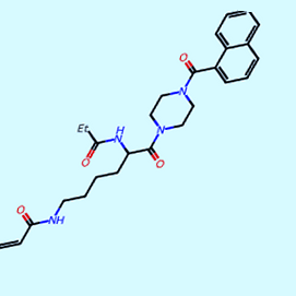 C=CC(=O)NCCCCC(NC(=O)CC)C(=O)N1CCN(C(=O)c2cccc3ccccc23)CC1